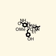 CCn1nc(C)cc1C(=O)Nc1nc2cc(C(N)=O)cc(OC)c2n1CCc1ccc(O)cc1